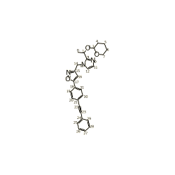 CC(OC1CCCCO1)c1nccn1Cc1cc(-c2ccc(C#Cc3ccccc3)cc2)on1